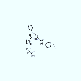 COc1ccc(NC(=O)/C=C/[C@H](CCc2ccccc2)NC(=O)[C@@H]2CCN2)cc1.O=C(O)C(F)(F)F